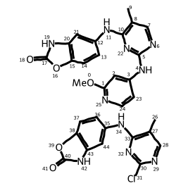 COc1cc(Nc2ncc(C)c(Nc3ccc4oc(=O)[nH]c4c3)n2)ccn1.Cc1cnc(Cl)nc1Nc1ccc2oc(=O)[nH]c2c1